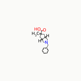 C[C@]1(C(=O)O)C[C@H]2CN(Cc3ccccc3)C[C@H]2C1